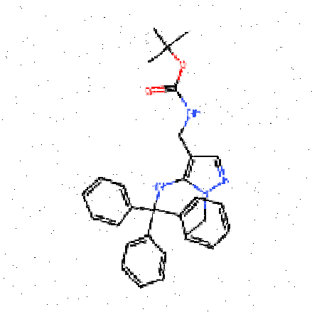 CCn1ncc(CNC(=O)OC(C)(C)C)c1NC(c1ccccc1)(c1ccccc1)c1ccccc1